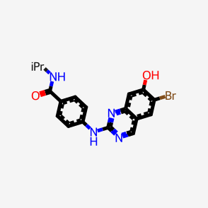 CC(C)NC(=O)c1ccc(Nc2ncc3cc(Br)c(O)cc3n2)cc1